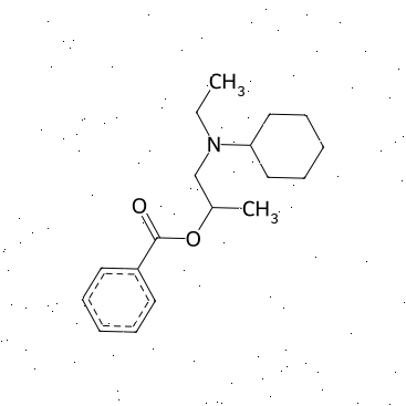 CCN(CC(C)OC(=O)c1ccccc1)C1CCCCC1